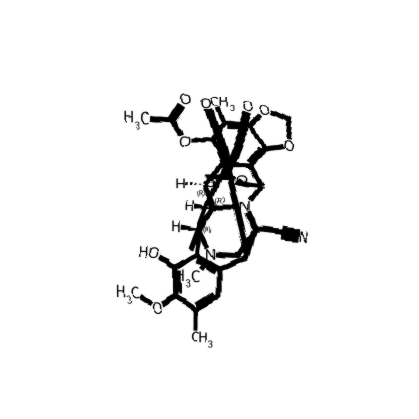 COc1c(C)cc2c(c1O)[C@@H]1[C@@H]3[C@@H]4SCC(=O)C(=O)OCC(c5c6c(c(C)c(OC(C)=O)c54)OCO6)N3C(C#N)(C2)CN1C